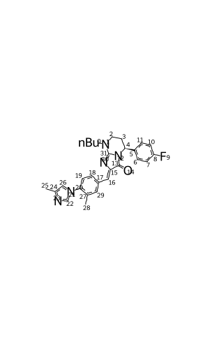 CCCCN1CC[C@@H](c2ccc(F)cc2)N2C(=O)/C(=C/c3ccc(-n4cnc(C)c4)c(C)c3)N=C12